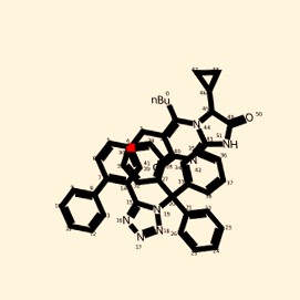 CCCCc1c(Cc2ccc(-c3ccccc3)c(-c3nnnn3C(c3ccccc3)(c3ccccc3)c3ccccc3)c2)c(=O)nc2n1C(C1CC1)C(=O)N2